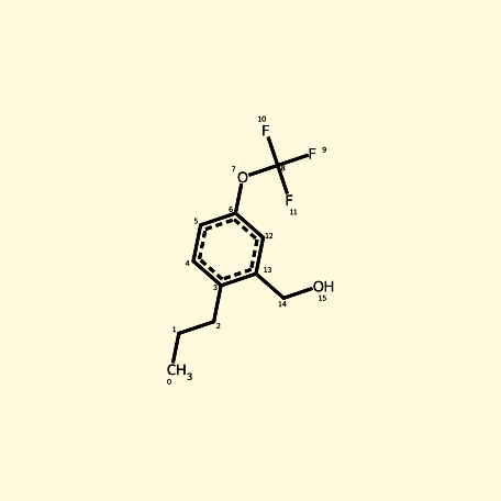 CCCc1ccc(OC(F)(F)F)cc1[CH]O